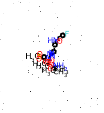 COc1cc(S(C)(=O)=O)ccc1N(C(=O)OC(C)OC(=O)C(N)C(C)(C)C)c1nc2ccc(-c3ccc(NC(=O)Cc4ccc(F)cc4)cc3)cn2n1